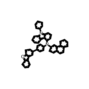 c1ccc(-n2c3ccccc3c3c(N(c4ccc(-c5ccc6oc7ccccc7c6c5)cc4)c4ccc5ccc6ccccc6c5c4)cccc32)cc1